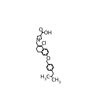 CC(C)Cc1ccc(COc2ccc3c(c2)CCC(CN2CC(C(=O)O)C2)=C3Cl)cc1